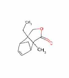 CCC12COC(=O)C1(C)C1C=CC2C1